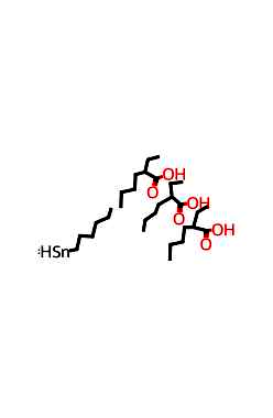 CCCCC(CC)C(=O)O.CCCCC(CC)C(=O)O.CCCCC(CC)C(=O)O.CCCCC[CH2][SnH]